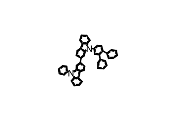 c1ccc(-c2ccc(-n3c4ccccc4c4ccc(-c5ccc6c7ccccc7n(-c7ccccc7)c6c5)cc43)cc2-c2ccccc2)cc1